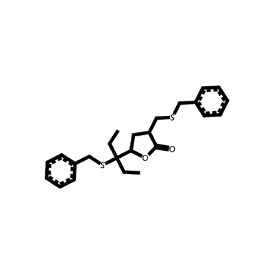 CCC(CC)(SCc1ccccc1)C1CC(CSCc2ccccc2)C(=O)O1